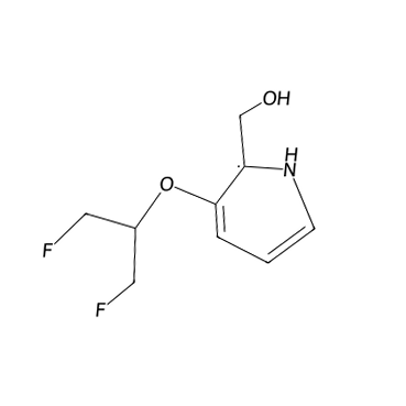 OC[C]1NC=CC=C1OC(CF)CF